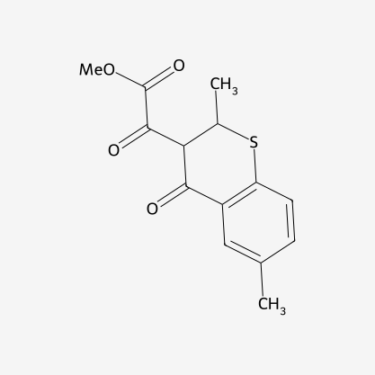 COC(=O)C(=O)C1C(=O)c2cc(C)ccc2SC1C